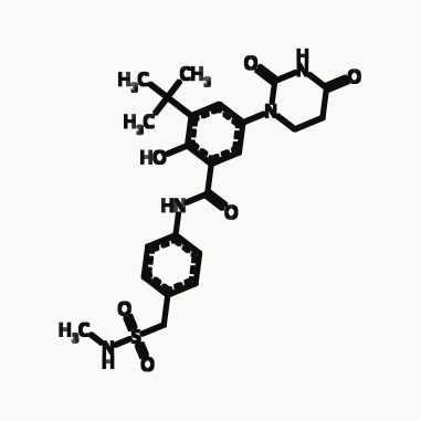 CNS(=O)(=O)Cc1ccc(NC(=O)c2cc(N3CCC(=O)NC3=O)cc(C(C)(C)C)c2O)cc1